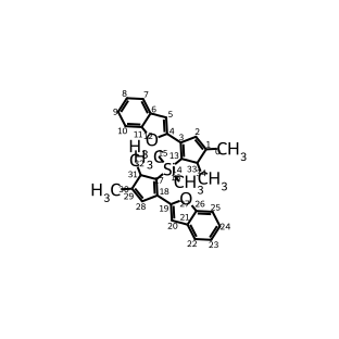 CC1=CC(c2cc3ccccc3o2)=C([Si](C)(C)C2=C(c3cc4ccccc4o3)C=C(C)C2C)C1C